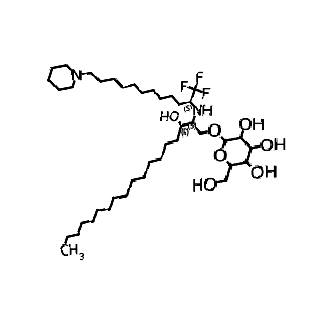 CCCCCCCCCCCCCCC[C@@H](O)[C@H](COC1OC(CO)C(O)C(O)C1O)N[C@@H](CCCCCCCCCCN1CCCCC1)C(F)(F)F